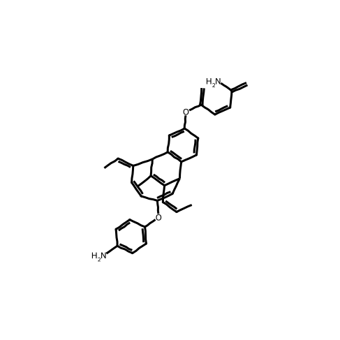 C=C(N)/C=C\C(=C)Oc1ccc2c(c1)C1C(C)=C(/C=C\C)C2\C=C(Oc2ccc(N)cc2)/C=C\C1=C/C